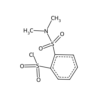 CN(C)S(=O)(=O)c1ccccc1S(=O)(=O)Cl